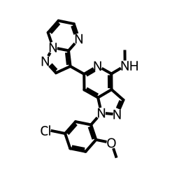 CNc1nc(-c2cnn3cccnc23)cc2c1cnn2-c1cc(Cl)ccc1OC